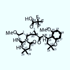 COCC[C@H]([C@@H]1C[C@H]1C(=O)NC1CC(C)(C)Oc2cccc(OC)c21)N1C(=N)NC(C)(C)CC1=O.O=C(O)C(F)(F)F